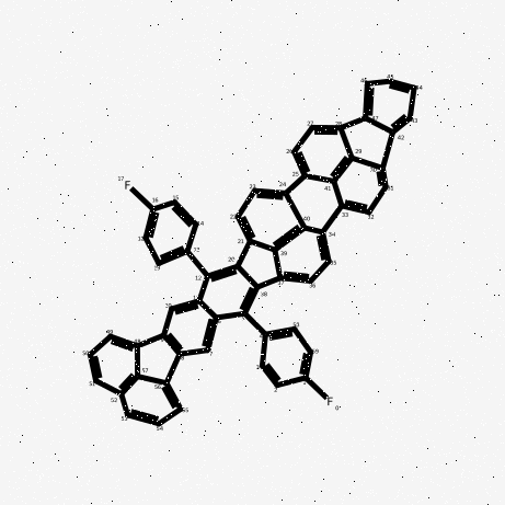 Fc1ccc(-c2c3cc4c(cc3c(-c3ccc(F)cc3)c3c5ccc6c7ccc8c9c(ccc(c%10ccc(c23)c5c%106)c97)-c2ccccc2-8)c2cccc3cccc4c32)cc1